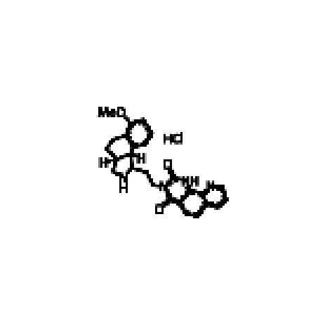 COc1cccc2c1CC[C@H]1CNC(CCn3c(=O)[nH]c4c(ccc5cccnc54)c3=O)[C@@H]21.Cl